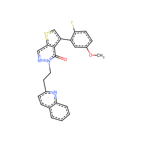 COc1ccc(F)c(-c2csc3cnn(CCc4ccc5ccccc5n4)c(=O)c23)c1